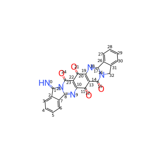 N=c1c2ccccc2c2nc3c(=O)c4c(=O)n5c(nc4c(=O)c3c(=O)n12)-c1ccccc1C5